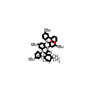 CC(C)(C)c1ccc(N2c3cc(C(C)(C)C)cc4c3B(c3cc(C(C)(C)C)ccc3N4c3ccc(C(C)(C)C)cc3-c3ccccc3)c3sc4c(c32)C(C)(C)CCC4(C)C)cc1